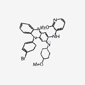 COc1ncccc1Nc1cc2nc3ccccc3n(C3=CC=C(Br)CC3)c-2c/c1=N\C1CCC(OC)CC1